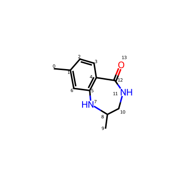 Cc1ccc2c(c1)NC(C)CNC2=O